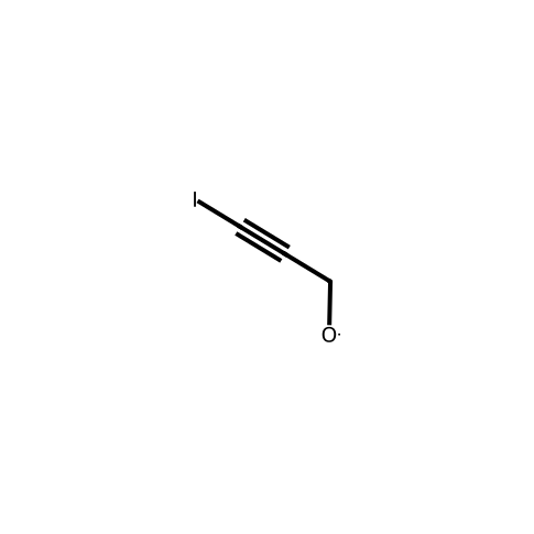 [O]CC#CI